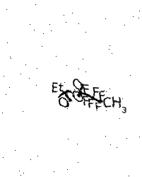 CCC1(COC(=O)C(F)(F)C(F)(F)C(C)(F)F)COC1